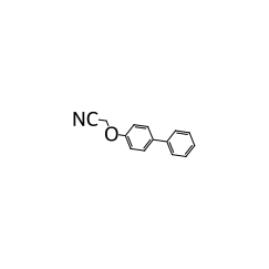 N#CCOc1ccc(-c2ccccc2)cc1